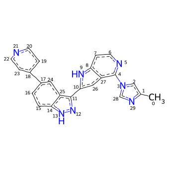 Cc1cn(-c2nccc3[nH]c(-c4n[nH]c5ccc(-c6ccncc6)cc45)cc23)cn1